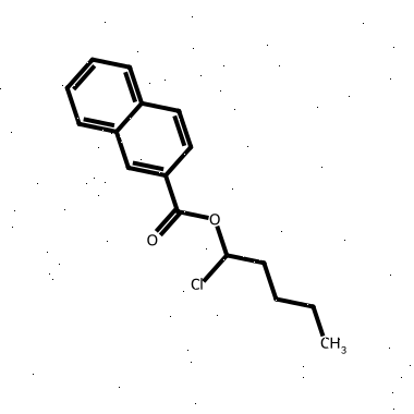 CCCCC(Cl)OC(=O)c1ccc2ccccc2c1